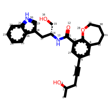 CC(O)CC#Cc1cc2c(c(C(=O)N[C@@H](CO)Cc3c[nH]c4ccccc34)c1)OCCCC2